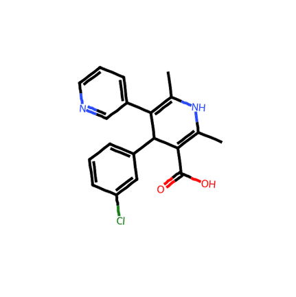 CC1=C(C(=O)O)C(c2cccc(Cl)c2)C(c2cccnc2)=C(C)N1